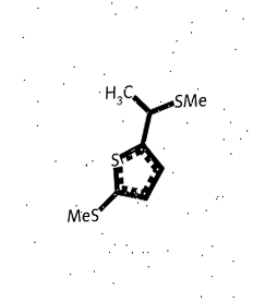 CSc1ccc(C(C)SC)s1